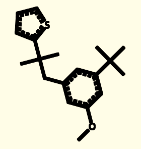 COc1cc(CC(C)(C)c2cccs2)cc(C(C)(C)C)c1